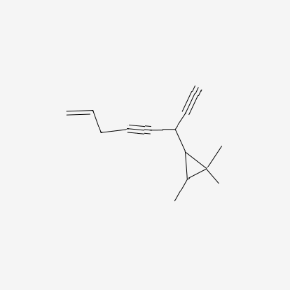 C#CC(C#CCC=C)C1C(C)C1(C)C